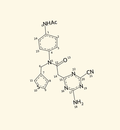 CC(=O)Nc1ccc(N(Cc2ccsc2)C(=O)Cc2nc(N)nc(C#N)n2)cc1